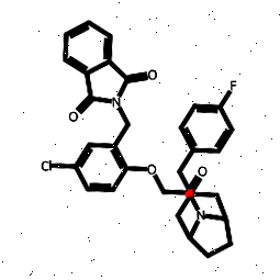 O=C1c2ccccc2C(=O)N1Cc1cc(Cl)ccc1OCC(=O)N1C2CCC1CC(Cc1ccc(F)cc1)C2